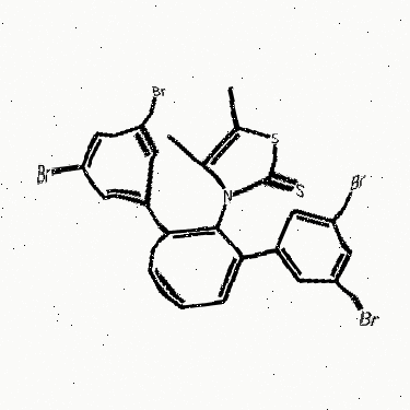 Cc1sc(=S)n(-c2c(-c3cc(Br)cc(Br)c3)cccc2-c2cc(Br)cc(Br)c2)c1C